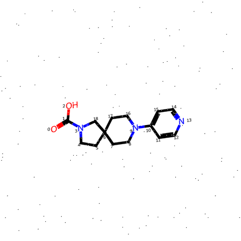 O=C(O)N1CCC2(CCN(c3ccncc3)CC2)C1